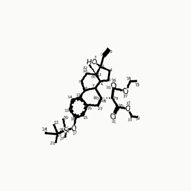 C#C[C@]1(O)CCC2C3C(CC[C@@]21C)c1ccc(O[Si](C)(C)C(C)(C)C)cc1C[C@H]3C(C(=O)OCC)C(=O)OCC